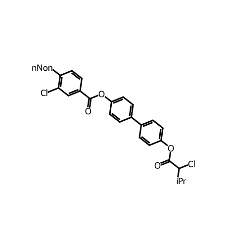 CCCCCCCCCc1ccc(C(=O)Oc2ccc(-c3ccc(OC(=O)C(Cl)C(C)C)cc3)cc2)cc1Cl